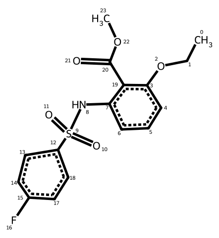 CCOc1cccc(NS(=O)(=O)c2ccc(F)cc2)c1C(=O)OC